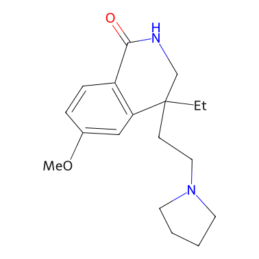 CCC1(CCN2CCCC2)CNC(=O)c2ccc(OC)cc21